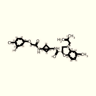 C=C(C)CN1C[C@@H](C(=O)NC23CC(NC(=O)COc4ccc(Cl)c(F)c4)(C2)C3)Oc2ccc(C)cc21